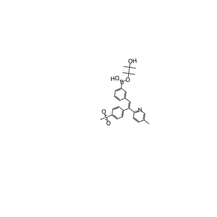 Cc1ccc(/C(=C/c2cccc(B(O)OC(C)(C)C(C)(C)O)c2)c2ccc(S(C)(=O)=O)cc2)nc1